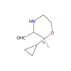 C[C@@]1(C2CC2)OCCNC1C=O